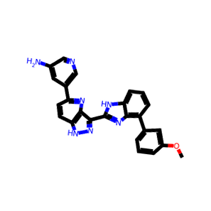 COc1cccc(-c2cccc3[nH]c(-c4n[nH]c5ccc(-c6cncc(N)c6)nc45)nc23)c1